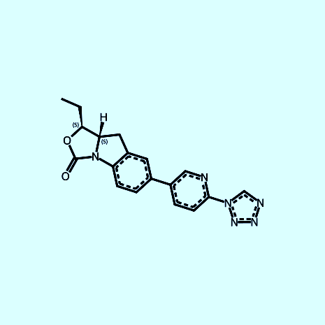 CC[C@@H]1OC(=O)N2c3ccc(-c4ccc(-n5cnnn5)nc4)cc3C[C@@H]12